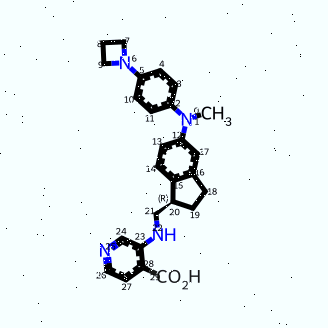 CN(c1ccc(N2CCC2)cc1)c1ccc2c(c1)CC[C@H]2CNc1cnccc1C(=O)O